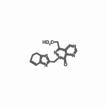 O=C(O)Cc1nn(Cc2nc3c(s2)CCC=C3)c(=O)c2ncncc12